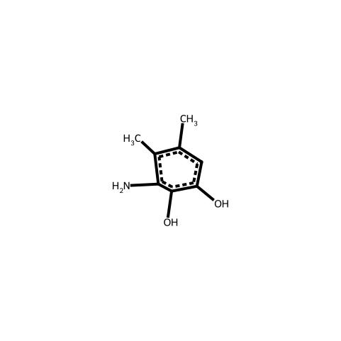 Cc1cc(O)c(O)c(N)c1C